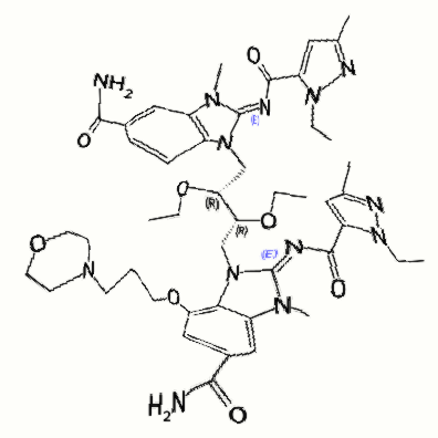 CCO[C@H](Cn1/c(=N/C(=O)c2cc(C)nn2CC)n(C)c2cc(C(N)=O)ccc21)[C@@H](Cn1/c(=N/C(=O)c2cc(C)nn2CC)n(C)c2cc(C(N)=O)cc(OCCCN3CCOCC3)c21)OCC